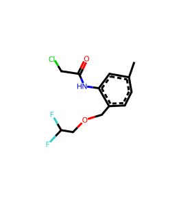 Cc1ccc(COCC(F)F)c(NC(=O)CCl)c1